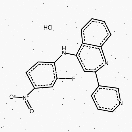 Cl.O=[N+]([O-])c1ccc(Nc2cc(-c3cccnc3)nc3ccccc23)c(F)c1